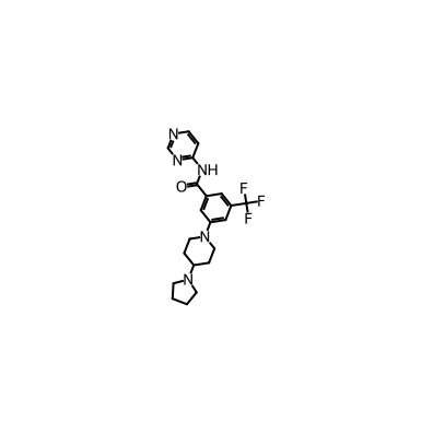 O=C(Nc1ccncn1)c1cc(N2CCC(N3CCCC3)CC2)cc(C(F)(F)F)c1